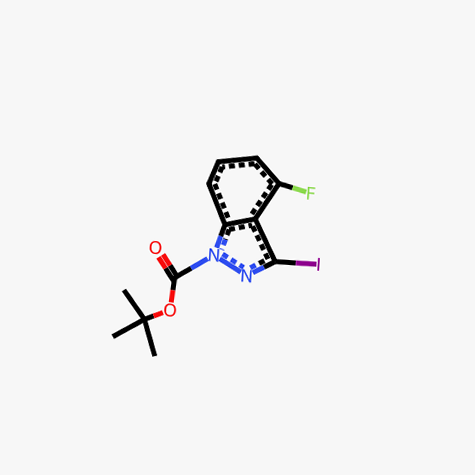 CC(C)(C)OC(=O)n1nc(I)c2c(F)cccc21